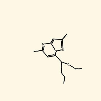 CCCC(CCC)c1cc(C)nc2cc(C)nn12